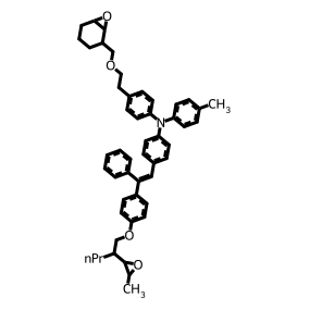 CCCC(COc1ccc(C(=Cc2ccc(N(c3ccc(C)cc3)c3ccc(CCOCC4CCCC5OC45)cc3)cc2)c2ccccc2)cc1)C1OC1C